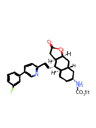 CCOC(=O)N[C@@H]1CC[C@@H]2[C@@H](C1)C[C@@H]1OC(=O)C[C@@H]1[C@H]2/C=C/c1ccc(-c2cccc(F)c2)cn1